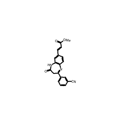 COC(=O)/C=C/c1ccc2c(c1)NC(=O)CC(c1cccc(C#N)c1)=N2